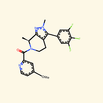 COc1ccnc(C(=O)N2CCc3c(nn(C)c3-c3cc(F)c(F)c(F)c3)[C@@H]2C)c1